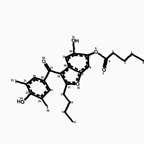 CCCCC(=O)Oc1cc2oc(CCCC)c(C(=O)c3cc(I)c(O)c(I)c3)c2cc1O